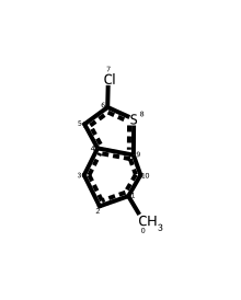 Cc1ccc2[c]c(Cl)sc2c1